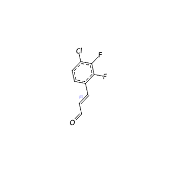 O=C/C=C/c1ccc(Cl)c(F)c1F